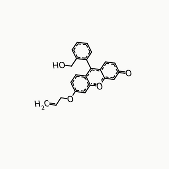 C=CCOc1ccc2c(-c3ccccc3CO)c3ccc(=O)cc-3oc2c1